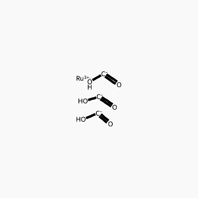 O=[C-]O.O=[C-]O.O=[C-]O.[Ru+3]